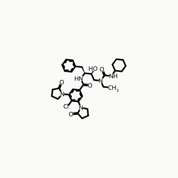 CCN(C[C@H](O)[C@H](Cc1ccccc1)NC(=O)c1cc(N2CCCC2=O)c(Cl)c(N2CCCC2=O)c1)C(=O)NC1CCCCC1